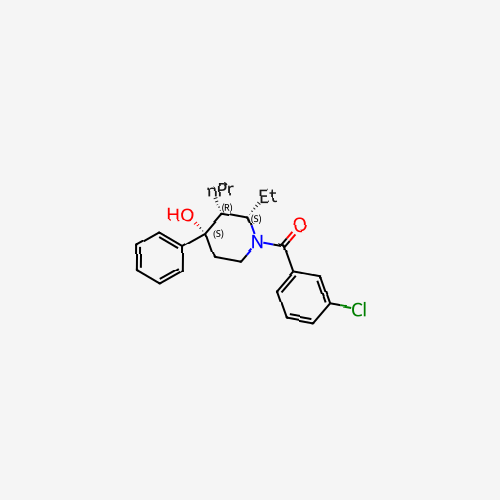 CCC[C@@H]1[C@H](CC)N(C(=O)c2cccc(Cl)c2)CC[C@@]1(O)c1ccccc1